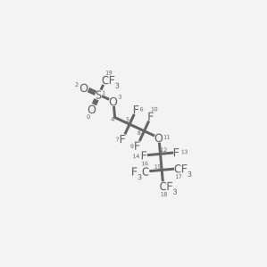 O=S(=O)(OCC(F)(F)C(F)(F)OC(F)(F)C(C(F)(F)F)(C(F)(F)F)C(F)(F)F)C(F)(F)F